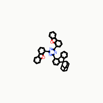 c1ccc2c(c1)-c1c(-c3nc(-c4cccc5c4oc4ccccc45)nc(-c4cccc5c4oc4ccccc45)n3)cccc1C21C2CC3CC(C2)CC1C3